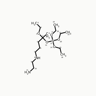 CCOC(C)(CCCNCCN)O[Si](OCC)(OCC)OCC